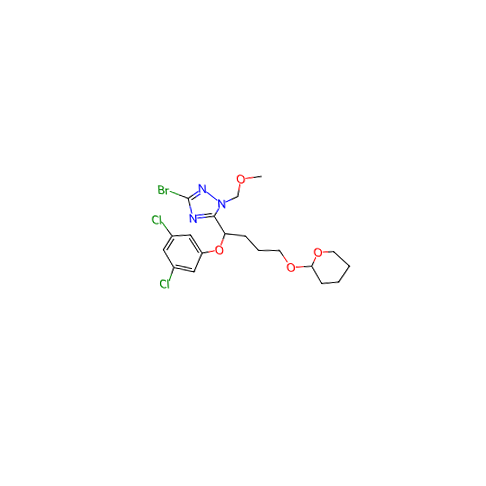 COCn1nc(Br)nc1C(CCCOC1CCCCO1)Oc1cc(Cl)cc(Cl)c1